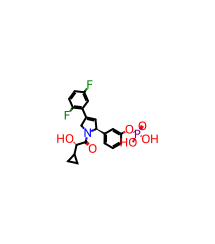 O=C([C@@H](O)C1CC1)N1CC(c2cc(F)ccc2F)=C[C@H]1c1cccc(OP(=O)(O)O)c1